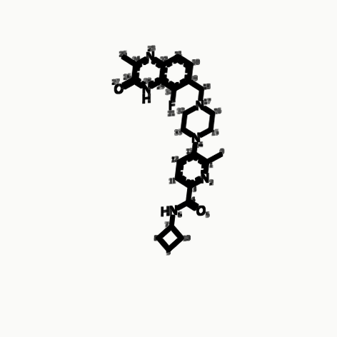 Cc1nc(C(=O)NC2CCC2)ccc1N1CCN(Cc2ccc3nc(C)c(=O)[nH]c3c2F)CC1